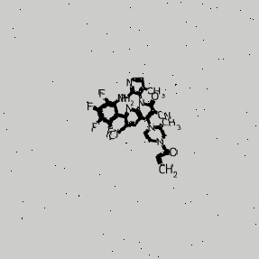 C=CC(=O)N1CCN(c2c(C#N)c(=O)n(-c3c(C)ccnc3C(C)C)c3nc(-c4c(N)c(F)c(F)c(F)c4F)c(Cl)cc23)C(C)C1